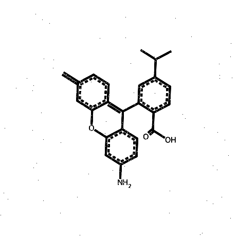 C=c1ccc2c(c1)Oc1cc(N)ccc1C=2c1cc(C(C)C)ccc1C(=O)O